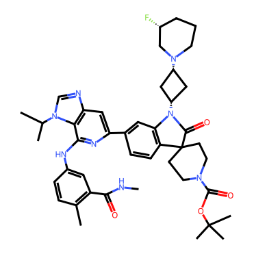 CNC(=O)c1cc(Nc2nc(-c3ccc4c(c3)N([C@H]3C[C@@H](N5CCC[C@@H](F)C5)C3)C(=O)C43CCN(C(=O)OC(C)(C)C)CC3)cc3ncn(C(C)C)c23)ccc1C